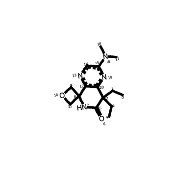 CCC1(CC)C(=O)NC2(COC2)c2ncc(N(C)C)nc21